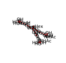 CCCCCCC(=O)NC(COCCC(=O)NCCOCCOCCOCCOC1OC(CO)C(O)C(O)C1NC(C)=O)(COCCC(=O)NCCOCCOCCOCCOC1OC(CO)C(O)C(O)C1NC(C)=O)COCCC(=O)NCCOCCOCCOCCOC1OC(CO)C(O)C(O)C1NC(C)=O